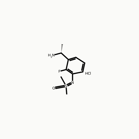 C[C@@H](N)c1cccc(N=S(C)(C)=O)c1F.Cl